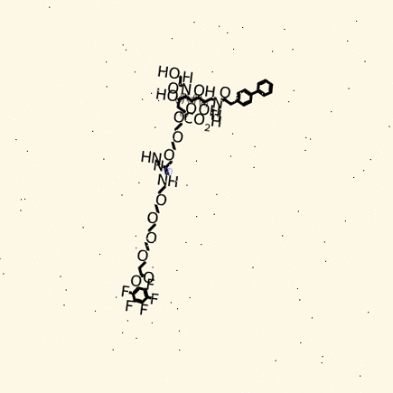 N=N/C(=C\NCCOCCOCCOCCOCCC(=O)Oc1c(F)c(F)c(F)c(F)c1F)COCCOCCO[C@@]1(C(=O)O)C[C@H](O)[C@@H](NC(=O)CO)[C@H]([C@H](O)[C@H](O)CNC(=O)Cc2ccc(-c3ccccc3)cc2)O1